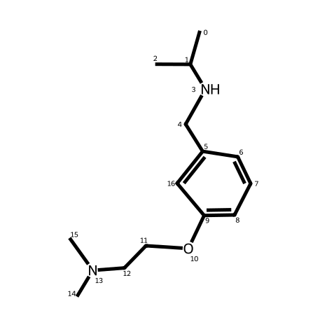 CC(C)NCc1cccc(OCCN(C)C)c1